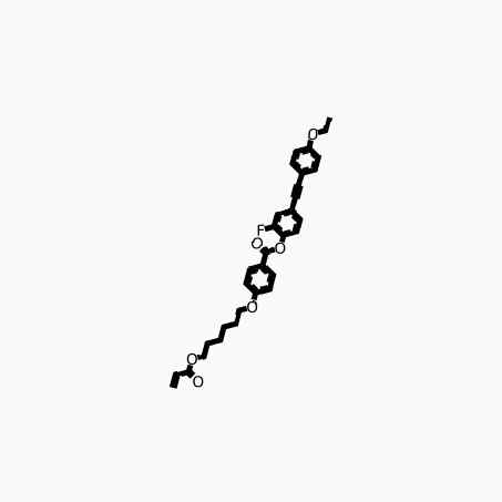 C=CC(=O)OCCCCCCOc1ccc(C(=O)Oc2ccc(C#Cc3ccc(OCC)cc3)cc2F)cc1